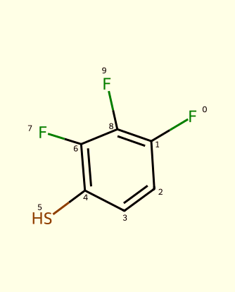 Fc1ccc(S)c(F)c1F